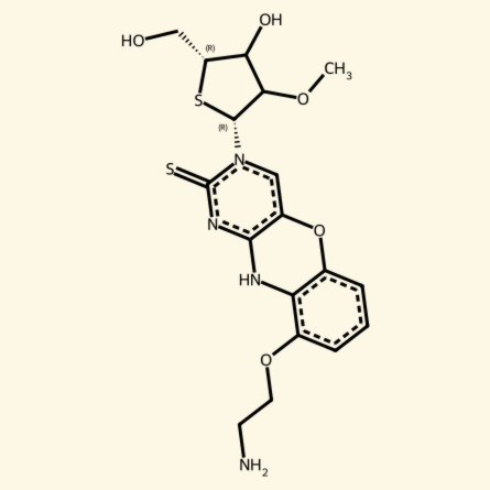 COC1C(O)[C@@H](CO)S[C@H]1n1cc2c(nc1=S)Nc1c(OCCN)cccc1O2